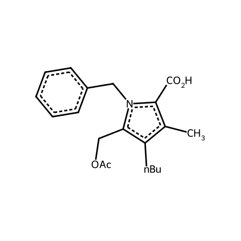 CCCCc1c(C)c(C(=O)O)n(Cc2ccccc2)c1COC(C)=O